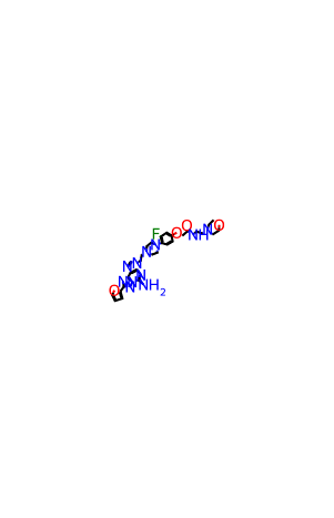 Nc1nc2c(ncn2CCN2CCN(c3ccc(OCC(=O)NCCN4CCOCC4)cc3F)CC2)c2nc(-c3ccco3)nn12